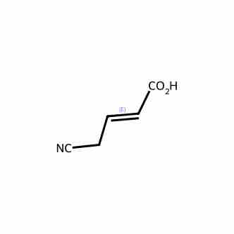 N#CC/C=C/C(=O)O